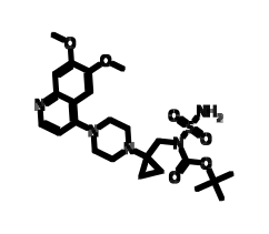 COc1cc2nccc(N3CCN(C4(CN(C(=O)OC(C)(C)C)S(N)(=O)=O)CC4)CC3)c2cc1OC